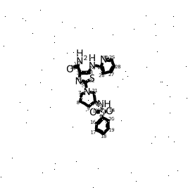 NC(=O)c1nc(N2CCC[C@@H](NS(=O)(=O)c3ccccc3)C2)sc1Nc1ccccn1